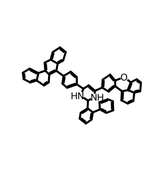 C1=C(c2ccc3c(c2)-c2cccc4cccc(c24)O3)NC(c2ccccc2-c2ccccc2)NC1c1ccc(-c2c3ccccc3cc3c2ccc2ccccc23)cc1